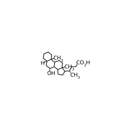 C[C@H](CCC(=O)O)C1CCC2C3C(CCC21C)[C@@]1(C)CCCC[C@H]1C[C@@H]3O